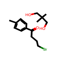 CC(C)(CO)CO.Cc1ccc(C(=O)CCCBr)cc1